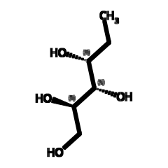 CC[C@@H](O)[C@H](O)[C@H](O)CO